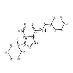 CC1(c2cnn3c(NCC4CCCCC4)ccnc23)CCCCC1